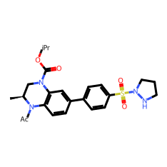 CC(=O)N1c2ccc(-c3ccc(S(=O)(=O)N4CCCN4)cc3)cc2N(C(=O)OC(C)C)C[C@@H]1C